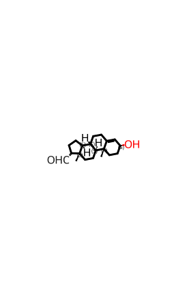 C[C@]12CC[C@H](O)C=C1CC[C@@H]1[C@@H]2CC[C@]2(C)C(C=O)CC[C@@H]12